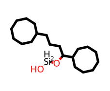 O[SiH2]OC(CCCC1CCCCCCC1)C1CCCCCCC1